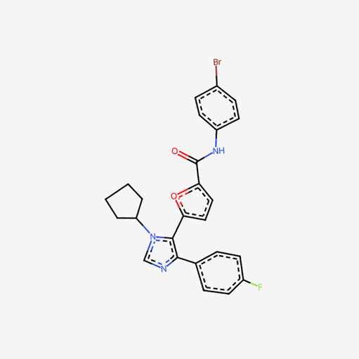 O=C(Nc1ccc(Br)cc1)c1ccc(-c2c(-c3ccc(F)cc3)ncn2C2CCCC2)o1